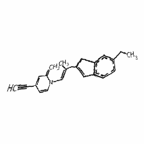 C#CC1=CC(=C)N(/C=C(\C)C2=Cc3ccc(CC)cc3C2)C=C1